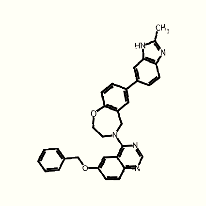 Cc1nc2ccc(-c3ccc4c(c3)CN(c3ncnc5ccc(OCc6ccccc6)cc35)CCO4)cc2[nH]1